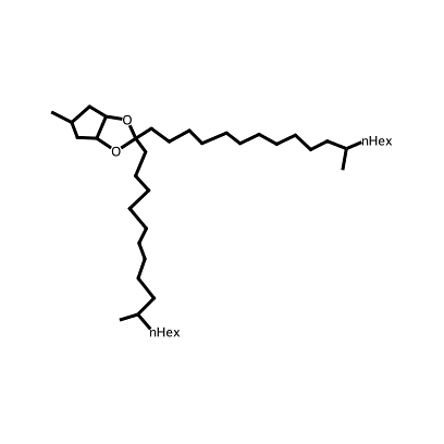 CCCCCCC(C)CCCCCCCCCCCC1(CCCCCCCCCC(C)CCCCCC)OC2CC(C)CC2O1